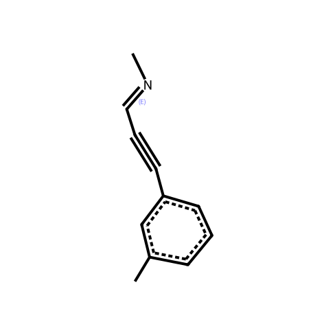 C/N=C/C#Cc1cccc(C)c1